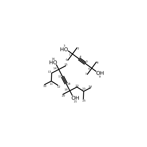 CC(C)(O)C#CC(C)(C)O.CC(C)CC(C)(O)C#CC(C)(O)CC(C)C